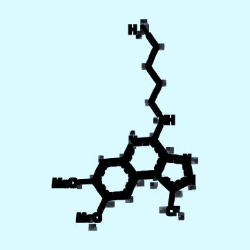 COc1cc2nc(NCCCCN)c3nnc(C(F)(F)F)n3c2cc1OC